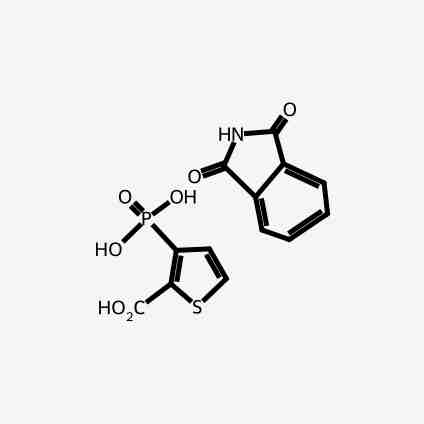 O=C(O)c1sccc1P(=O)(O)O.O=C1NC(=O)c2ccccc21